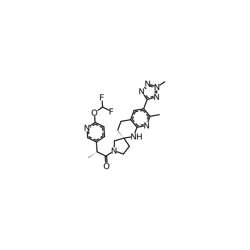 Cc1nc2c(cc1-c1nnn(C)n1)CC[C@@]1(CCN(C(=O)[C@H](C)c3ccc(OC(F)F)nc3)C1)N2